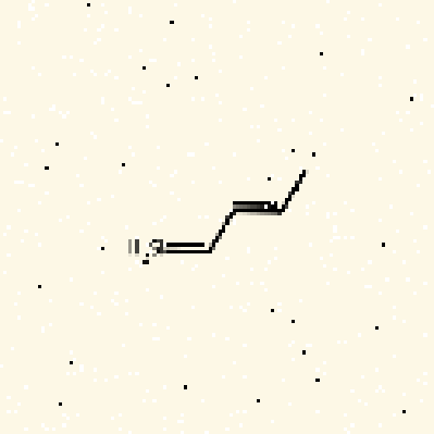 CC=CC=[SiH2]